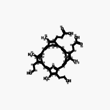 CC1=C(CCO)c2cc3[nH]c(cc4nc(cc5[nH]c(cc1n2)c(CCO)c5C)C(C)=C4CCC(=O)O)c(CCC(=O)O)c3C